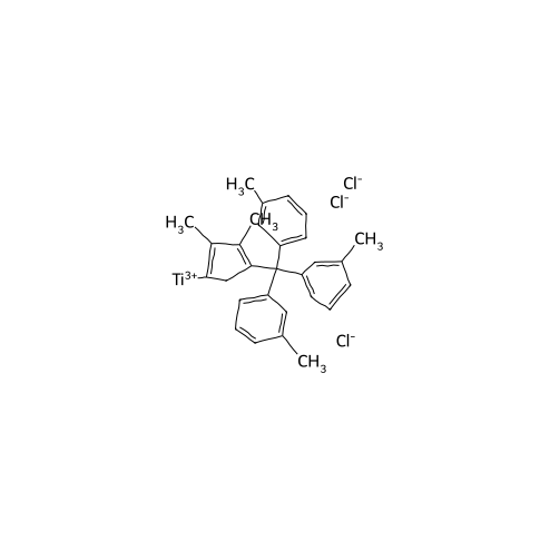 CC1=[C]([Ti+3])CC(C(c2cccc(C)c2)(c2cccc(C)c2)c2cccc(C)c2)=C1C.[Cl-].[Cl-].[Cl-]